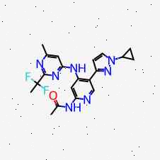 CC(=O)Nc1cc(Nc2cc(C)nc(C(C)(F)F)n2)c(-c2ccn(C3CC3)n2)cn1